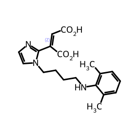 Cc1cccc(C)c1NCCCCn1ccnc1/C(=C/C(=O)O)C(=O)O